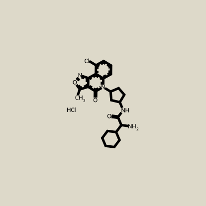 Cc1onc2c1c(=O)n(C1CCC(NC(=O)C(N)C3CCCCC3)C1)c1cccc(Cl)c21.Cl